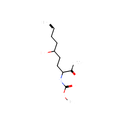 C=CCCC(O)CCC(NC(=O)OC(C)(C)C)C(=O)OC